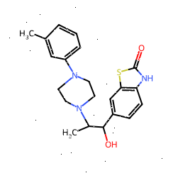 Cc1cccc(N2CCN(C(C)C(O)c3ccc4[nH]c(=O)sc4c3)CC2)c1